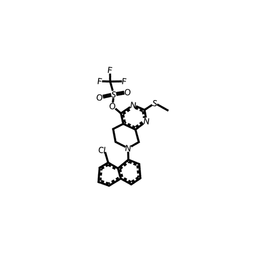 CSc1nc2c(c(OS(=O)(=O)C(F)(F)F)n1)CCN(c1cccc3cccc(Cl)c13)C2